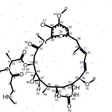 CNCCC(=O)N(C)[C@@H](C)C(=O)O[C@H]1CC(=O)N(C)c2cc(cc(OC)c2Cl)C/C(C)=C/C=C/[C@@H](OC)[C@@]2(O)C[C@H](OC(=O)N2)[C@@H](C)[C@@H]2O[C@@]12C